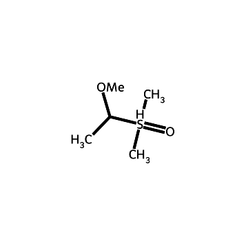 COC(C)[SH](C)(C)=O